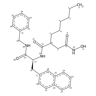 CCCCCCC(CC(=O)NO)C(=O)N[C@@H](Cc1ccc2ccccc2c1)C(=O)NCc1ccccc1